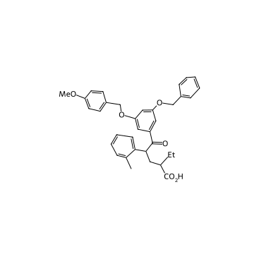 CCC(CC(C(=O)c1cc(OCc2ccccc2)cc(OCc2ccc(OC)cc2)c1)c1ccccc1C)C(=O)O